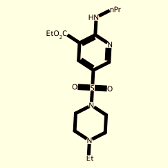 CCCNc1ncc(S(=O)(=O)N2CCN(CC)CC2)cc1C(=O)OCC